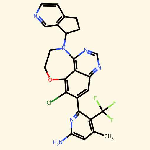 Cc1cc(N)nc(-c2cc3ncnc4c3c(c2Cl)OCCN4C2CCc3ccncc32)c1C(F)(F)F